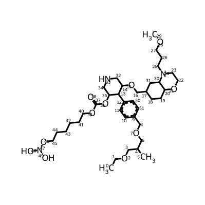 CCOCC(C)COCc1ccc(C2C(OCC3CCC4OCCN(CCCOC)C4C3)CNCC2OC(=O)OCCCCCCON(O)O)cc1